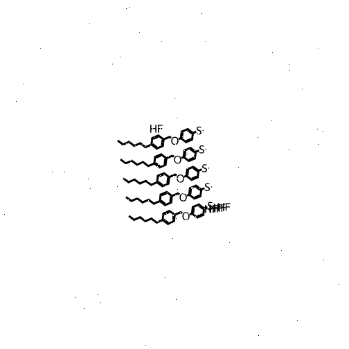 CCCCCCc1ccc(COc2ccc([S])cc2)cc1.CCCCCCc1ccc(COc2ccc([S])cc2)cc1.CCCCCCc1ccc(COc2ccc([S])cc2)cc1.CCCCCCc1ccc(COc2ccc([S])cc2)cc1.CCCCCCc1ccc(COc2ccc([S])cc2)cc1.F.F.F.F.F